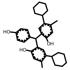 Cc1cc(O)c(C(c2ccc(O)cc2)c2cc(C3CCCCC3)c(C)cc2O)cc1C1CCCCC1